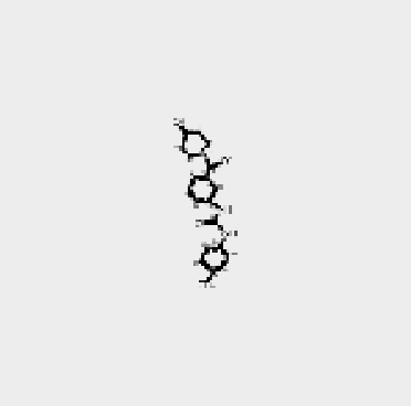 O=C1CCN(C(=O)c2cccc(NC(=O)Nc3ccc(Cl)cc3)c2)CC1